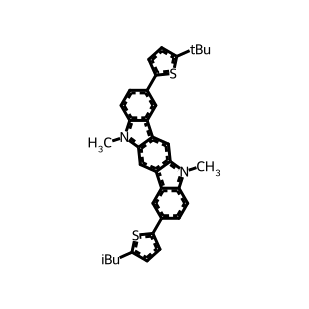 CCC(C)c1ccc(-c2ccc3c(c2)c2cc4c(cc2n3C)c2cc(-c3ccc(C(C)(C)C)s3)ccc2n4C)s1